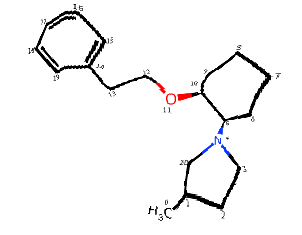 CC1CCN([C@@H]2CCCC[C@@H]2OCCc2ccccc2)C1